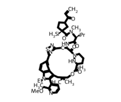 C=CC(=O)C1CC[C@@]([SiH3])(C(=O)N(C)[C@H](C(=O)N[C@H]2Cc3nsc(n3)-c3ccc4c(c3)c(c(-c3cccnc3[C@H](C)OC)n4CC)CC(C)(C)COC(=O)[C@@]3([SiH3])CCCN(N3)C2=O)C(C)C)C1